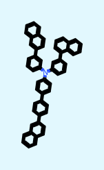 c1cc(-c2ccc3ccccc3c2)cc(N(c2ccc(-c3ccc(-c4ccc5ccccc5c4)cc3)cc2)c2cccc(-c3cccc4ccccc34)c2)c1